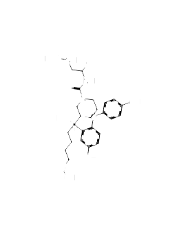 CNCC(C)NC(=O)N1CCC[C@@H]([C@@](O)(CCCCOC)c2cc(C)ccc2Oc2ccc(C)cc2)C1